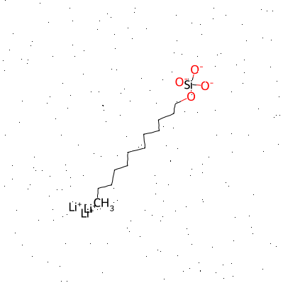 CCCCCCCCCCCCO[Si]([O-])([O-])[O-].[Li+].[Li+].[Li+]